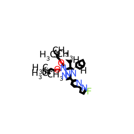 C[Si](C)(C)CCOCN(COCC[Si](C)(C)C)c1c(C2CC2)c([C@H]2C[C@@H]3CC[C@@H](C3)C2)nc2c(-c3ccc(C4=NC(F)=CC4)nc3)cnn12